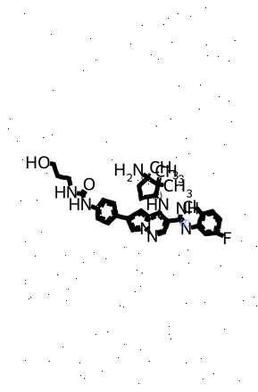 CC1(C)[C@H](Nc2c(/C(N)=N/c3cc(F)ccc3Cl)cnn3cc(-c4ccc(NC(=O)NCCCO)cc4)cc23)CC[C@]1(C)N